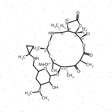 CC[C@H]1OC(=O)C(C)C(=O)[C@H](C)[C@@H](OC2OC(CNC3(C)CC3)CC(N(C)C)C2O)[C@](C)(OC)C[C@@H](C)CN[C@H](C)[C@H]2NC(=O)O[C@@]21C